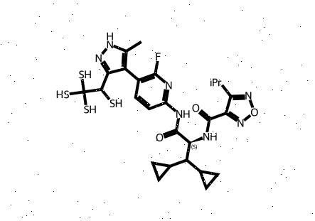 Cc1[nH]nc(C(S)C(S)(S)S)c1-c1ccc(NC(=O)[C@@H](NC(=O)c2nonc2C(C)C)C(C2CC2)C2CC2)nc1F